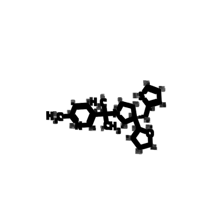 Cc1ccc(C(C)(C)N2CC[C@@](Cc3cccs3)(C3CCCO3)C2)cn1